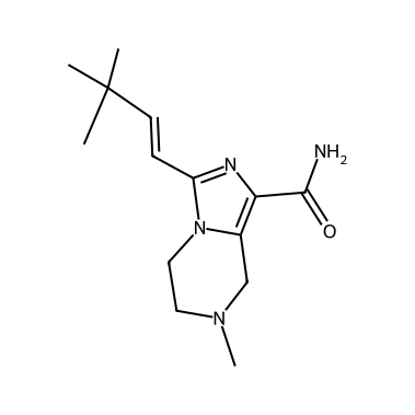 CN1CCn2c(/C=C/C(C)(C)C)nc(C(N)=O)c2C1